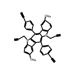 C#CCn1c2ccc(OC)cc2c2c(-c3ccc(C#C)cc3)c3c(c(-c4ccc(C#C)cc4)c21)c1cc(OC)ccc1n3CC#C